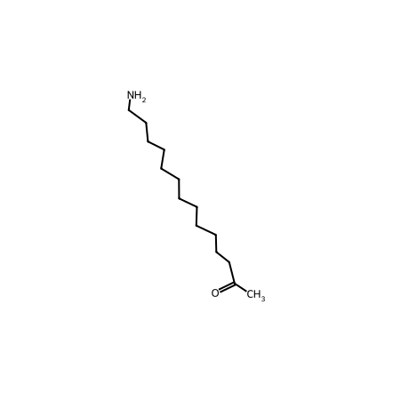 CC(=O)CCCCCCCCCCCCN